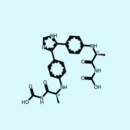 C[C@H](Nc1ccc(-c2nc[nH]c2-c2ccc(N[C@@H](C)C(=O)NC(=O)O)cc2)cc1)C(=O)NC(=O)O